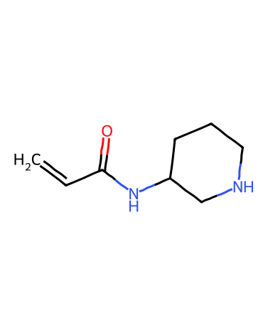 C=CC(=O)NC1CCCNC1